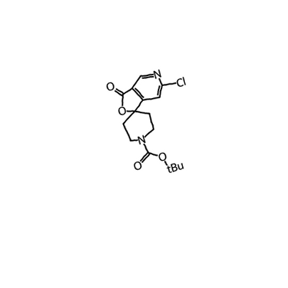 CC(C)(C)OC(=O)N1CCC2(CC1)OC(=O)c1cnc(Cl)cc12